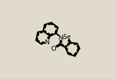 O=c1c2ccccc2[se]n1-c1cccc2cccnc12